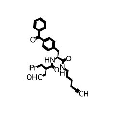 C#CCCCCNC(=O)[C@H](Cc1ccc(C(=O)c2ccccc2)cc1)NC(=O)[C@@H](CC=O)CC(C)C